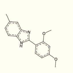 COc1ccc(-c2nc3cc(C)ccc3[nH]2)c(OC)c1